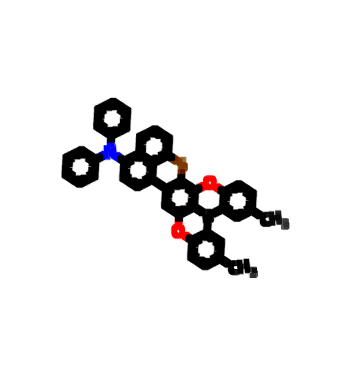 Cc1ccc2c(c1)B1c3cc(C)ccc3Oc3c4c(cc(c31)O2)-c1ccc(N(c2ccccc2)c2ccccc2)c2cccc(c12)S4